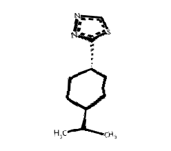 CC(C)[C@H]1CC[C@H](c2nncs2)CC1